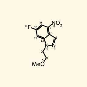 COCCn1ncc2c([N+](=O)[O-])cc(F)cc21